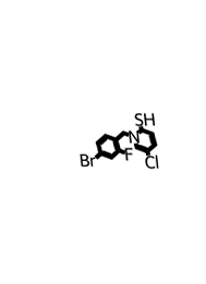 Fc1cc(Br)ccc1CN1C=C(Cl)C=CC1S